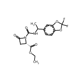 CCOC(=O)[C@@H]1CC(=O)N1C(=O)NC(C)c1ccc2c(c1)OC(F)(F)O2